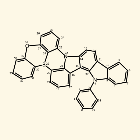 c1ccc(-n2c3ccccc3c3ccc4c(c5cccc6c5n4-c4cccc5c4B6c4ccccc4O5)c32)cc1